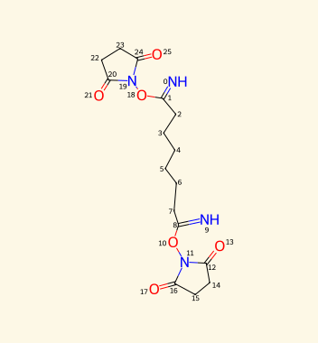 N=C(CCCCCCC(=N)ON1C(=O)CCC1=O)ON1C(=O)CCC1=O